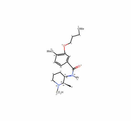 COCCCOc1cc(C(=O)N(C(C)C)[C@@H]2CCCN(C(=O)O)[C@@H]2C)ccc1OC